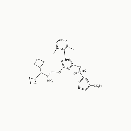 Cc1cccc(C)c1-c1cc(OCC(N)C(C2CCC2)C2CCC2)nc(NS(=O)(=O)c2cccc(C(=O)O)c2)n1